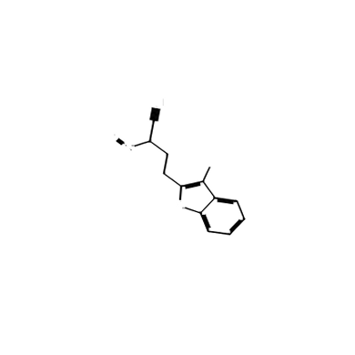 C#CC(CCc1sc2ccccc2c1I)N=O